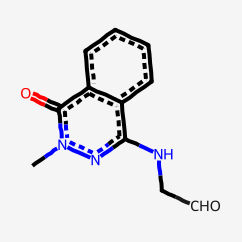 Cn1nc(NCC=O)c2ccccc2c1=O